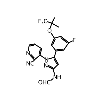 CC(C)(Oc1cc(F)cc(-c2cc(NC=O)nn2-c2cccnc2C#N)c1)C(F)(F)F